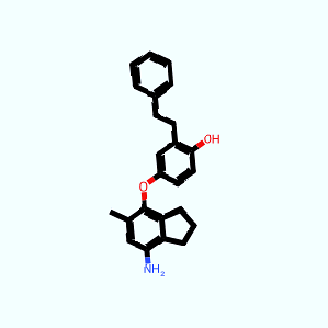 Cc1cc(N)c2c(c1Oc1ccc(O)c(CCc3ccccc3)c1)CCC2